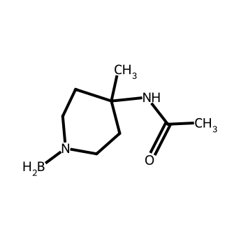 BN1CCC(C)(NC(C)=O)CC1